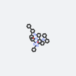 c1ccc(-c2ccc3c(c2)c2ccccc2n3-c2cccc3c4c(-n5c6ccccc6c6ccccc65)cccc4n(-c4ccccc4-c4nc(-c5ccccc5)nc(-c5ccccc5)n4)c23)cc1